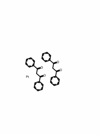 O=C(CC(=O)c1ccccc1)c1ccccc1.O=C(CC(=O)c1ccccc1)c1ccccc1.[Pt]